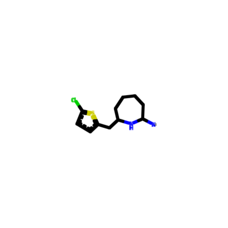 [N]C1CCCCC(Cc2ccc(Cl)s2)N1